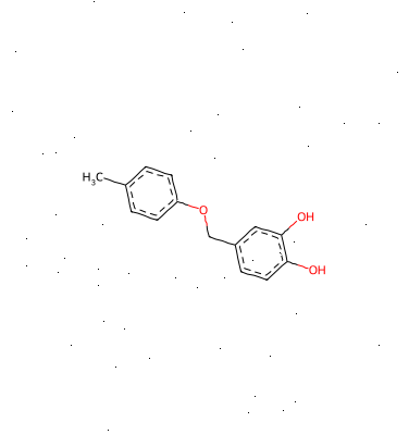 Cc1ccc(OCc2ccc(O)c(O)c2)cc1